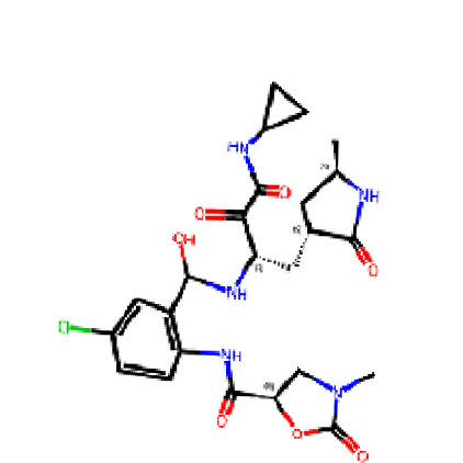 C[C@@H]1C[C@@H](C[C@H](NC(O)c2cc(Cl)ccc2NC(=O)[C@H]2CN(C)C(=O)O2)C(=O)C(=O)NC2CC2)C(=O)N1